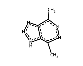 Cc1nnc(C)c2[nH]nnc12